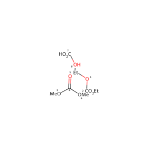 CCOC(=O)OCC.COC(=O)OC.O=C(O)O